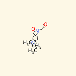 CCCCC1(N(C)C)CCC2(CC1)CC(=O)N(CCC1COC1)C2